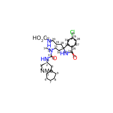 CNC[C@H](CC1CCCCC1)NC(=O)N(C)CC[C@]1(CCCNC(=O)O)NC(=O)c2ccc(Cl)cc21